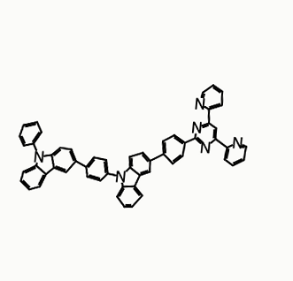 c1ccc(-n2c3ccccc3c3cc(-c4ccc(-n5c6ccccc6c6cc(-c7ccc(-c8nc(-c9ccccn9)cc(-c9ccccn9)n8)cc7)ccc65)cc4)ccc32)cc1